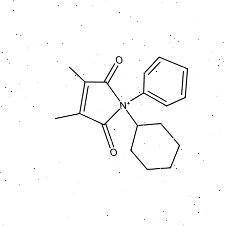 CC1=C(C)C(=O)[N+](c2ccccc2)(C2CCCCC2)C1=O